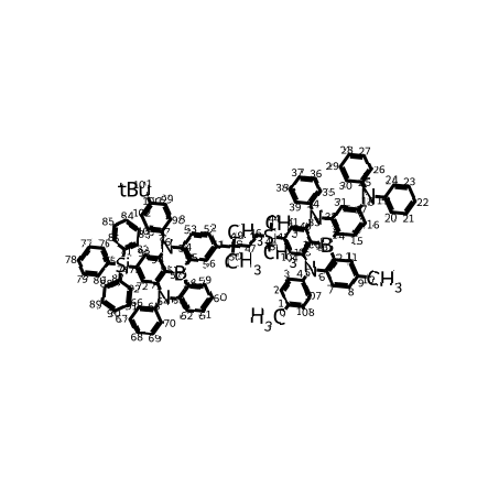 Cc1ccc(N2c3ccc(C)cc3B3c4ccc(N(c5ccccc5)c5ccccc5)cc4N(c4ccccc4)c4cc([Si](C)(C)CCC(C)(C)c5ccc6c(c5)B5c7ccccc7N(c7ccccc7)c7cc([Si](c8ccccc8)(c8ccccc8)c8ccccc8)cc(c75)N6c5ccc(C(C)(C)C)cc5)cc2c43)cc1